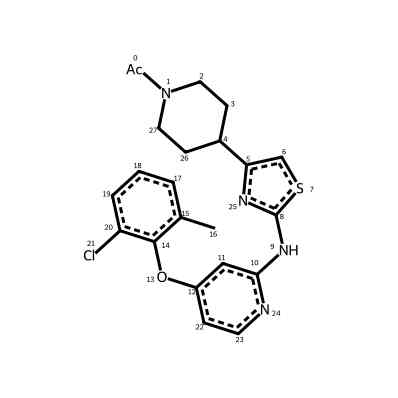 CC(=O)N1CCC(c2csc(Nc3cc(Oc4c(C)cccc4Cl)ccn3)n2)CC1